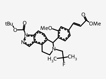 COC(=O)/C=C/c1ccc(C2c3ccc4c(cnn4C(=O)OC(C)(C)C)c3CCN2CC(C)(C)F)c(OC)c1